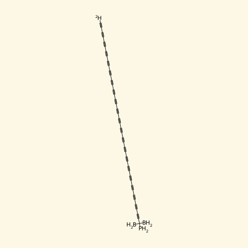 [2H]C#CC#CC#CC#CC#CC#CC#CC#CC#CC#CC#CC#CC#CC#CC#CC#CC#CC#CC#CC#CC#CC(B)(B)P